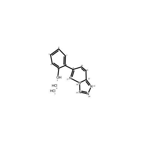 Cl.Cl.Oc1ccccc1-c1ccc2nnnn2n1